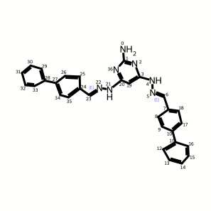 Nc1nc(N/N=C/c2ccc(-c3ccccc3)cc2)cc(N/N=C/c2ccc(-c3ccccc3)cc2)n1